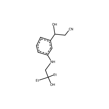 CCC(O)(CC)CNc1cccc(C(O)CC#N)c1